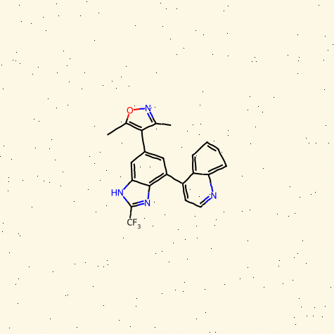 Cc1noc(C)c1-c1cc(-c2ccnc3ccccc23)c2nc(C(F)(F)F)[nH]c2c1